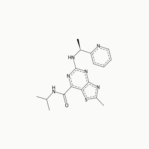 Cc1nc2nc(N[C@@H](C)c3ccccn3)nc(C(=O)NC(C)C)c2s1